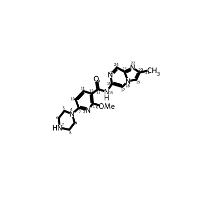 COc1nc(N2CCNCC2)ccc1C(=O)Nc1cn2cc(C)nc2cn1